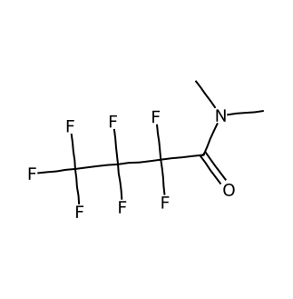 CN(C)C(=O)C(F)(F)C(F)(F)C(F)(F)F